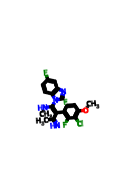 CN/C(=C(\C(C)=N)c1c(F)cc(OC)c(Cl)c1F)n1cnc2cc(F)ccc21